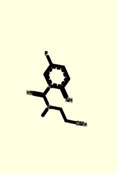 COCCN(C)C(=N)n1cc(F)ccc1=N